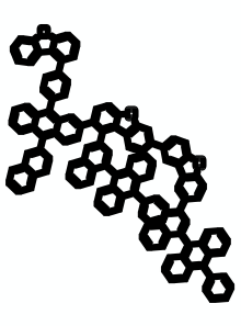 c1ccc(-c2c3ccccc3c(-c3cc(-c4ccc5oc6ccc(-c7ccc8c(c7)oc7ccc(-c9ccc%10c(-c%11ccc%12ccccc%12c%11)c%11ccccc%11c(-c%11ccc(-c%12cccc%13oc%14ccccc%14c%12%13)cc%11)c%10c9)c(-c9cc(-c%10c%11ccccc%11c(-c%11ccccc%11)c%11ccccc%10%11)c%10ccccc%10c9)c78)cc6c5c4)cc4ccccc34)c3ccccc23)cc1